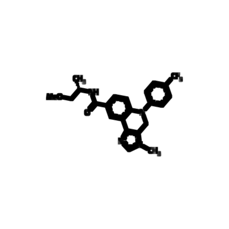 COC[C@H](C)NC(=O)c1ccc2c(c1)-c1ncn(C)c1CN2c1ccc(C(F)(F)F)cc1